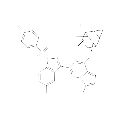 CCOC(=O)[C@H]1[C@H](Nc2nc(-c3cn(S(=O)(=O)c4ccc(C)cc4)c4ncc(F)cc34)nn3c(C(F)(F)F)ccc23)[C@@H]2CC[C@H]1C1CC12